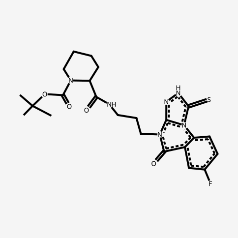 CC(C)(C)OC(=O)N1CCCCC1C(=O)NCCCn1c(=O)c2cc(F)ccc2n2c(=S)[nH]nc12